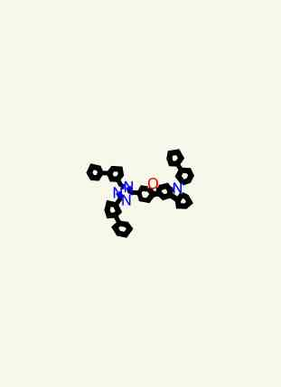 C1=c2oc3cc4c(cc3c2=CCC1c1nc(-c2cccc(-c3ccccc3)c2)nc(-c2cccc(-c3ccccc3)c2)n1)c1ccccc1n4-c1cccc(-c2ccccc2)c1